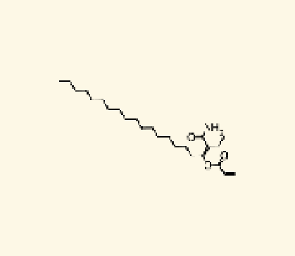 C=CC(=O)OC(CCCCCCCCCCCCCCCCC)=C(CC)C(N)=O